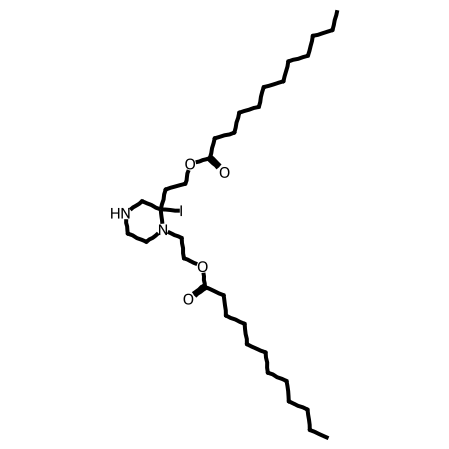 CCCCCCCCCCCC(=O)OCCN1CCNCC1(I)CCOC(=O)CCCCCCCCCCC